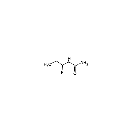 CCC(F)NC(N)=O